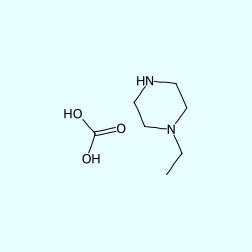 CCN1CCNCC1.O=C(O)O